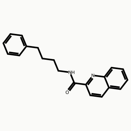 O=C(NCCCCc1ccccc1)c1ccc2ccccc2n1